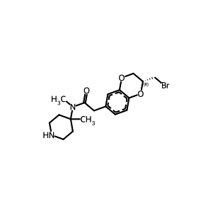 CN(C(=O)Cc1ccc2c(c1)OC[C@H](CBr)O2)C1(C)CCNCC1